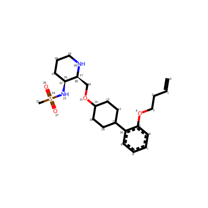 C=CCCOc1ccccc1C1CCC(OC[C@@H]2NCCC[C@@H]2NS(C)(=O)=O)CC1